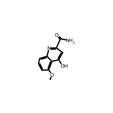 COc1cccc2nc(C(N)=O)cc(O)c12